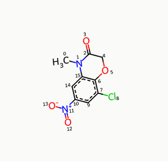 CN1C(=O)COc2c(Cl)cc([N+](=O)[O-])cc21